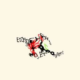 C=C(C)C(=O)OCCCc1cc(-c2ccc(C3CCC(CCCCC)CC3)cc2F)c(CC)cc1OCC(COC(=O)CC(=O)OCC)(COC(=O)CC(=O)OCC)COC(=O)C(=C)C